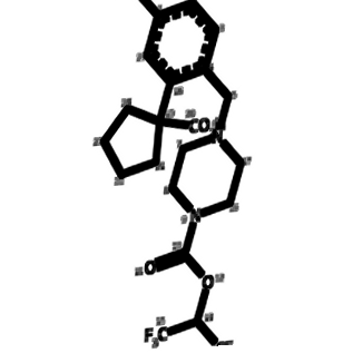 N#Cc1ccc(CN2CCN(C(=O)OC(C(F)(F)F)C(F)(F)F)CC2)c(C2(C(=O)O)CCCC2)c1